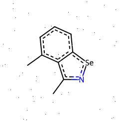 Cc1cccc2[se]nc(C)c12